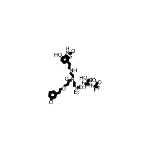 CCN(CC)CCN(CCNCCc1ccc(O)c2[nH]c(=O)sc12)C(=O)CCOCCc1cccc(Cl)c1.O=C(O)C(F)(F)F.O=C(O)C(F)(F)F